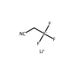 N#CC[B-](F)(F)F.[Li+]